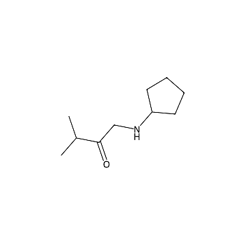 CC(C)C(=O)CNC1CCCC1